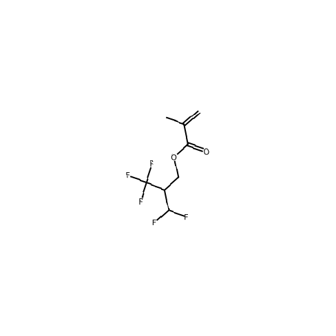 C=C(C)C(=O)OCC(C(F)F)C(F)(F)F